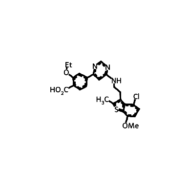 CCOc1cc(-c2cc(NCCc3c(C)sc4c(OC)ccc(Cl)c34)ncn2)ccc1C(=O)O